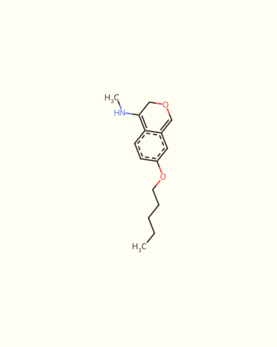 CCCCCOc1ccc2c(c1)=COCC=2NC